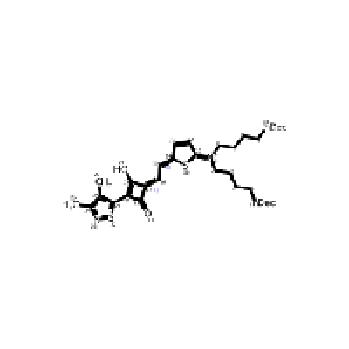 CCCCCCCCCCCCCC[N+](CCCCCCCCCCCCCC)=C1C=C/C(=C/C=C2/C(=O)C(c3snc(C)c3C)=C2O)S1